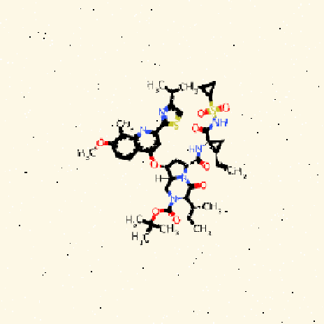 C=C[C@@H]1C[C@]1(NC(=O)[C@@H]1C[C@@H](Oc2cc(-c3nc(C(C)C)cs3)nc3c(C)c(OC)ccc23)[C@H]2CN(C(=O)OC(C)(C)C)[C@H]([C@H](C)CC)C(=O)N21)C(=O)NS(=O)(=O)C1CC1